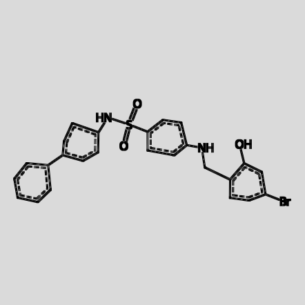 O=S(=O)(Nc1ccc(-c2ccccc2)cc1)c1ccc(NCc2ccc(Br)cc2O)cc1